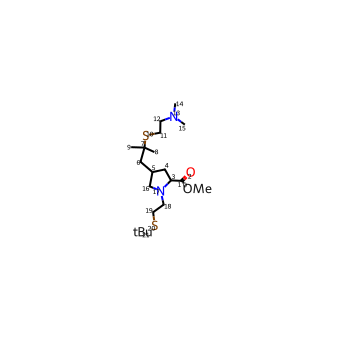 COC(=O)C1CC(CC(C)(C)SCCN(C)C)CN1CCSC(C)(C)C